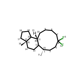 C[C@H]1CCC(F)(F)CCCC[C@@H]2C1CC[C@]1(C)CCCC21